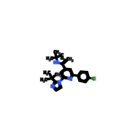 C=C(NC(C)(C)C)c1cc(-c2ccc(Cl)cc2)nc(-n2ccnc2C(C)(C)C)c1